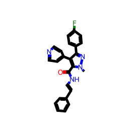 Cn1nc(-c2ccc(F)cc2)c(-c2ccncc2)c1C(=O)NC=Cc1ccccc1